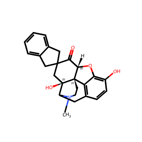 CN1CC[C@]23c4c5ccc(O)c4O[C@H]2C(=O)C2(Cc4ccccc4C2)C[C@@]3(O)C1C5